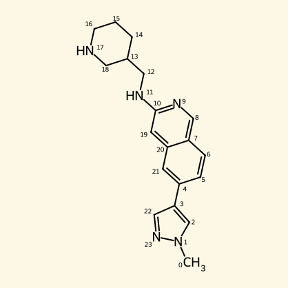 Cn1cc(-c2ccc3cnc(NCC4CCCNC4)cc3c2)cn1